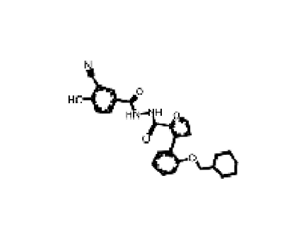 N#Cc1cc(C(=O)NNC(=O)c2occc2-c2ccccc2OCC2CCCCC2)ccc1O